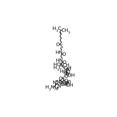 CC(C)C=CCCCCC(=O)SCCNC(=O)CCNC(=O)[C@H](O)C(C)(C)COP(=O)(O)OP(=O)(O)OC[C@H]1O[C@@H](n2cnc3c(N)ncnc32)[C@H](O)[C@@H]1OP(=O)(O)O